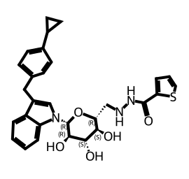 O=C(NNC[C@H]1O[C@@H](n2cc(Cc3ccc(C4CC4)cc3)c3ccccc32)[C@H](O)[C@@H](O)[C@@H]1O)c1cccs1